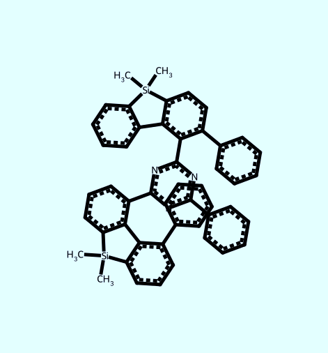 C[Si]1(C)c2cccc(-c3ccccc3)c2-c2c(-c3nc(-c4ccccc4)nc(-c4c(-c5ccccc5)ccc5c4-c4ccccc4[Si]5(C)C)n3)cccc21